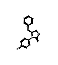 O=C1NCC(Cc2ccccc2)N1c1ccc(Br)cc1